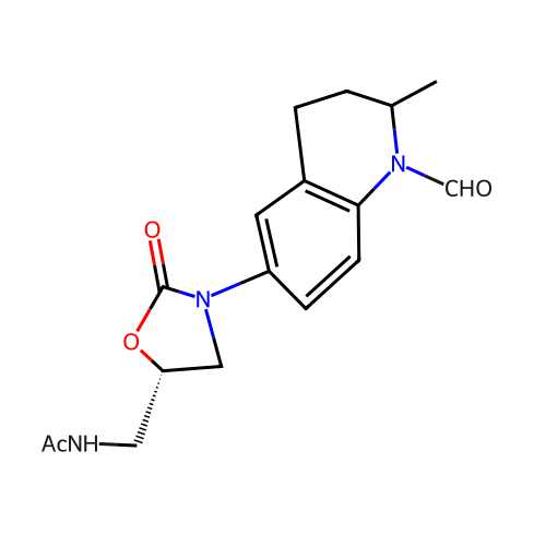 CC(=O)NC[C@H]1CN(c2ccc3c(c2)CCC(C)N3C=O)C(=O)O1